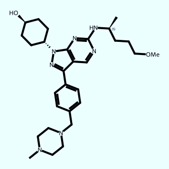 COCCC[C@H](C)Nc1ncc2c(-c3ccc(CN4CCN(C)CC4)cc3)nn([C@H]3CC[C@H](O)CC3)c2n1